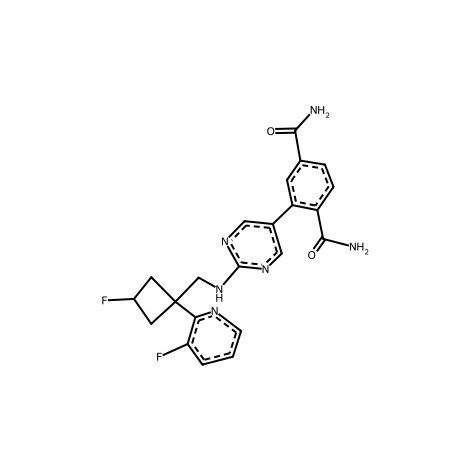 NC(=O)c1ccc(C(N)=O)c(-c2cnc(NCC3(c4ncccc4F)CC(F)C3)nc2)c1